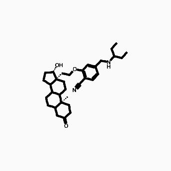 CCC(CC)NCc1ccc(C#N)c(OCC[C@]23CCC4C(CCC5CC(=O)CC[C@@]54C)C2CC[C@@H]3O)c1